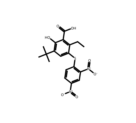 CCc1c(Sc2ccc([N+](=O)[O-])cc2[N+](=O)[O-])cc(C(C)(C)C)c(O)c1C(=O)O